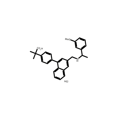 COc1cccc(C(C)NCc2cc(-c3ccc(C(C)(C)C(=O)O)cc3)c3ccccc3c2)c1.Cl